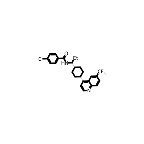 CCC(NC(=O)c1ccc(Cl)cc1)[C@H]1CC[C@@H](c2ccnc3ccc(C(F)(F)F)cc32)CC1